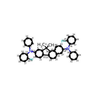 CC1(C)c2cc(N(c3ccccc3)c3ccccc3F)ccc2-c2ccc3cc(N(c4ccccc4)c4ccccc4F)ccc3c21